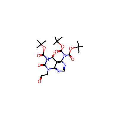 CC(C)(C)OC(=O)N(C(=O)OC(C)(C)C)c1ncnc2c1c(=O)n(C(=O)OC(C)(C)C)c(=O)n2CC=O